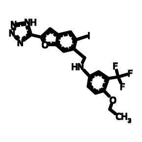 CCOc1ccc(NCc2cc3oc(-c4nnn[nH]4)cc3cc2I)cc1C(F)(F)F